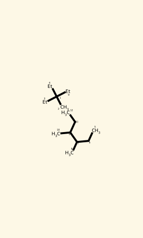 CCC(C)(CC)CC.CCC(C)C(C)CC